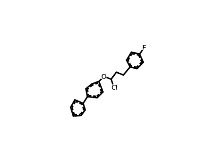 Fc1ccc(CCC(Cl)Oc2ccc(-c3ccccc3)cc2)cc1